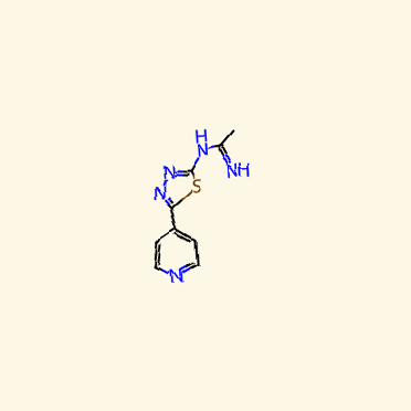 CC(=N)Nc1nnc(-c2ccncc2)s1